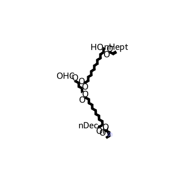 C=CC(=O)OC(CCCCCCCCCCC(=O)OC(CCCOC=O)COC(=O)CCCCCCCCCC(OC(=O)/C=C\C)C(O)CCCCCCCCCC)C(O)CCCCCCC